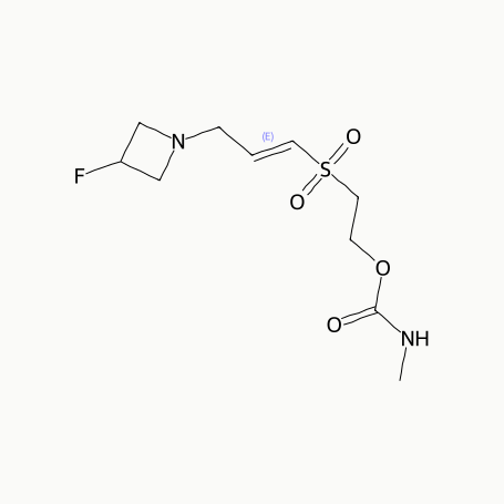 CNC(=O)OCCS(=O)(=O)/C=C/CN1CC(F)C1